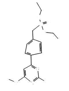 CCOP(=O)(Cc1ccc(-c2cc(OC)nc(C)n2)cc1)OCC